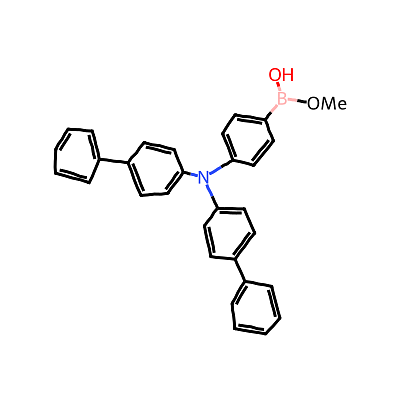 COB(O)c1ccc(N(c2ccc(-c3ccccc3)cc2)c2ccc(-c3ccccc3)cc2)cc1